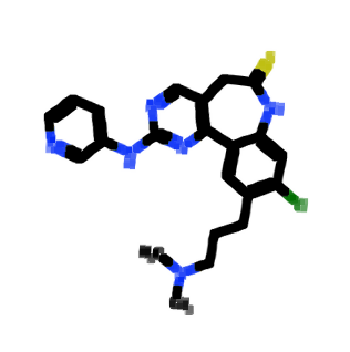 CN(C)CCCc1cc2c(cc1Cl)NC(=S)Cc1cnc(Nc3cccnc3)nc1-2